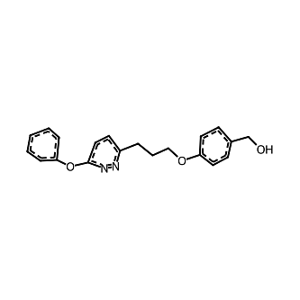 OCc1ccc(OCCCc2ccc(Oc3ccccc3)nn2)cc1